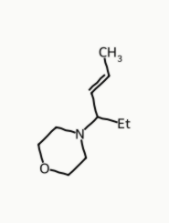 C/C=C/C(CC)N1CCOCC1